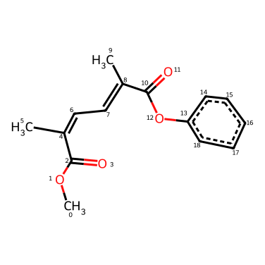 COC(=O)C(C)=CC=C(C)C(=O)Oc1ccccc1